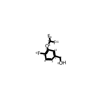 OCc1ccc(F)c(OC(F)F)c1